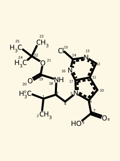 CC(C)C(Cn1c(C(=O)O)cc2cnc(Cl)nc21)NC(=O)OC(C)(C)C